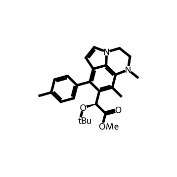 COC(=O)[C@@H](OC(C)(C)C)c1c(C)c2c3c(ccn3CCN2C)c1-c1ccc(C)cc1